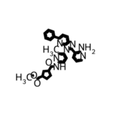 COC(=O)C1CCC(C(=O)Nc2ccc(-n3c(-c4cccnc4N)nc4ccc(-c5ccccc5)nc43)c(C)n2)C1